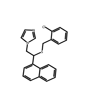 Clc1ccccc1CSC(Cn1ccnc1)c1cccc2ccccc12